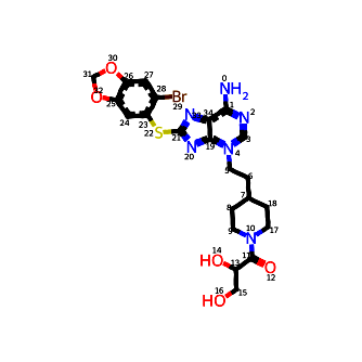 Nc1ncn(CCC2CCN(C(=O)C(O)CO)CC2)c2nc(Sc3cc4c(cc3Br)OCO4)nc1-2